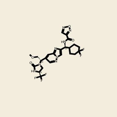 COC[C@H](c1cnn2cc([C@@H](NC(=O)c3cnon3)C3CCC(F)(F)CC3)nc2c1)N1C[C@@H](C(F)(F)F)NC1=O